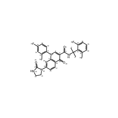 CC(C)(NC(=O)c1cn(-c2ccc(F)cc2F)c2nc(N3CCNC3=O)ccc2c1=O)c1c(F)cccc1F